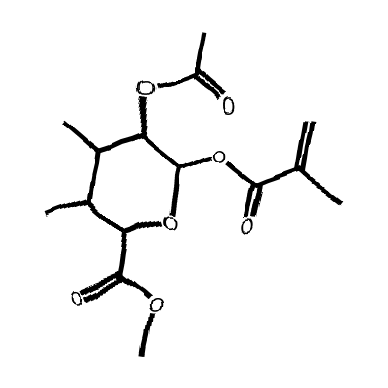 C=C(C)C(=O)OC1OC(C(=O)OC)C(C)C(C)C1OC(C)=O